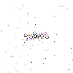 O=c1c(=Nc2cc3c(s2)-c2sc4cc(N=c5c(=O)c6ccccc6c5=O)sc4c2C32CCCCC2)c(=O)c2ccccc12